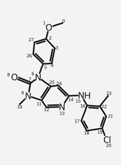 COc1ccc(-n2c(=O)n(C)c3cnc(Nc4ccc(Cl)cc4C)cc32)cc1